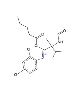 CCCCC(=O)O/C(=C\c1ccc(Cl)cc1Cl)C(C)(NC=O)C(C)C